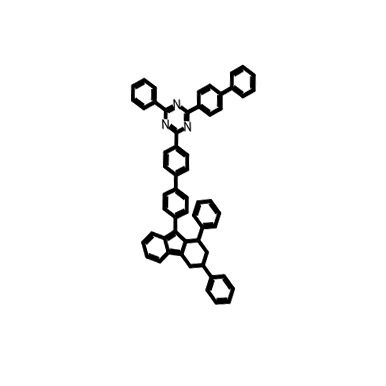 c1ccc(-c2ccc(-c3nc(-c4ccccc4)nc(-c4ccc(-c5ccc(C6=c7ccccc7=C7CC(c8ccccc8)CC(c8ccccc8)C76)cc5)cc4)n3)cc2)cc1